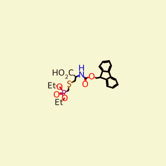 CCOP(=O)(CSC[C@H](NC(=O)OCC1c2ccccc2-c2ccccc21)C(=O)O)OCC